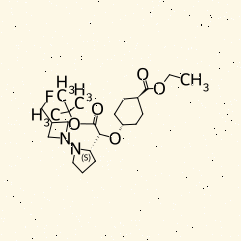 CCOC(=O)[C@H]1CC[C@H](OC(C(=O)OC(C)(C)C)[C@@H]2CCCN2N2CC(CF)C2)CC1